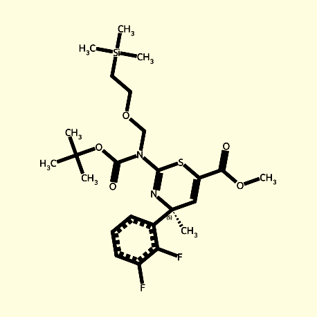 COC(=O)C1=C[C@@](C)(c2cccc(F)c2F)N=C(N(COCC[Si](C)(C)C)C(=O)OC(C)(C)C)S1